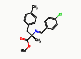 Cc1ccc(C[C@](C)(/N=C/c2ccc(Cl)cc2)C(=O)OC(C)(C)C)cc1